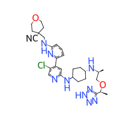 C[C@H](OC[C@H](C)N[C@H]1CC[C@H](Nc2cc(-c3cccc(NCC4(C#N)CCOCC4)n3)c(Cl)cn2)CC1)c1nn[nH]n1